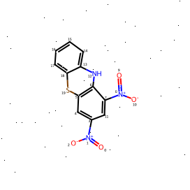 O=[N+]([O-])c1cc2c(c([N+](=O)[O-])c1)Nc1ccccc1S2